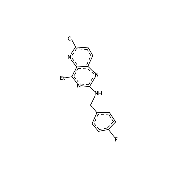 CCc1nc(NCc2ccc(F)cc2)nc2ccc(Cl)nc12